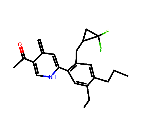 C=C1C=C(c2cc(CC)c(CCC)cc2CC2CC2(F)F)NC=C1C(C)=O